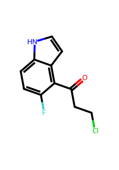 O=C(CCCl)c1c(F)ccc2[nH]ccc12